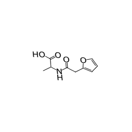 CC(NC(=O)Cc1ccco1)C(=O)O